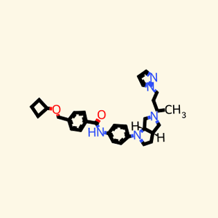 CC(CCn1cccn1)N1C[C@H]2CCN(c3ccc(NC(=O)c4ccc(COC5CCC5)cc4)cc3)[C@H]2C1